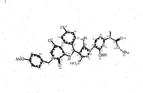 COc1ccc(Cn2cc(Cl)cc(NC(c3ccc(Cl)cc3)c3c(C(=O)O)nn(-c4cnc(N(C)C(=O)OC(C)(C)C)nc4OC)c3C(C)C)c2=O)cc1